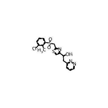 Cc1c(Cl)cccc1S(=O)(=O)Cc1nc(C(O)Cc2cccnn2)cs1